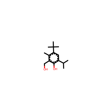 Cc1c(C(C)(C)C)cc(C(C)C)c(O)c1CO